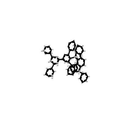 c1ccc(-c2cc(-c3nc(-c4cccnc4)nc(-c4cccnc4)n3)cc(-c3ccccc3)c2-n2c3ccccc3c3ccc4c(c5ccccc5n4-c4ccccc4)c32)cc1